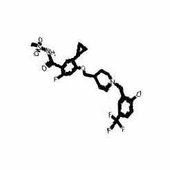 CS(=O)(=O)NC(=O)c1cc(C2CC2)c(OCC2CCN(Cc3cc(C(F)(F)F)ccc3Cl)CC2)cc1F